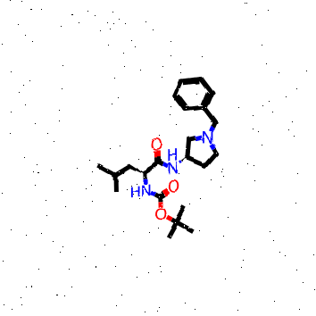 CC(C)C[C@H](NC(=O)OC(C)(C)C)C(=O)N[C@H]1CCN(Cc2ccccc2)C1